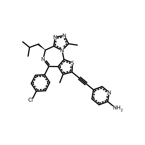 Cc1c(C#Cc2ccc(N)nc2)sc2c1C(c1ccc(Cl)cc1)=N[C@@H](CC(C)C)c1nnc(C)n1-2